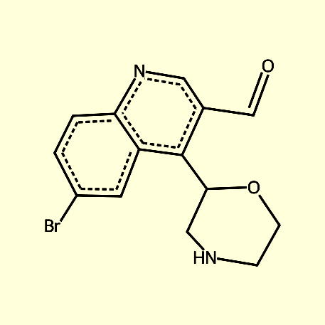 O=Cc1cnc2ccc(Br)cc2c1C1CNCCO1